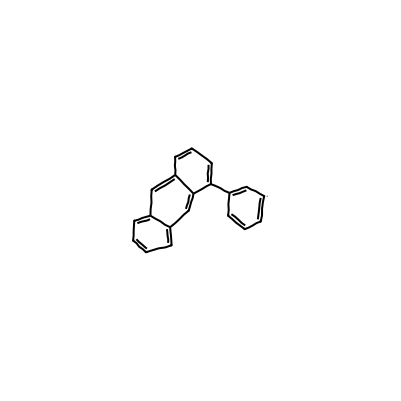 [c]1cccc(-c2cccc3cc4ccccc4cc23)c1